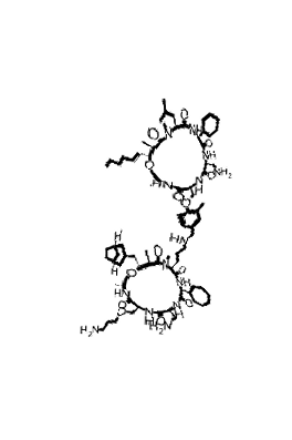 CCCCCC[C@H]1OC[C@@H](C)NC(=O)[C@H](COc2ccc(CNCCC[C@H]3C(=O)N[C@@H](C4CCCCCC4)C(=O)N[C@@H](CN)C(=O)N[C@@H](COCCCN)C(=O)N[C@H](C)CO[C@H](C[C@@H]4C[C@@H]5CC[C@@H](C5)C4)[C@@H](C)C(=O)N3C)cc2C)NC(=O)[C@H](CN)NC(=O)[C@H](C2CCCCC2)NC(=O)[C@H](CC(C)C)N(C)C(=O)[C@@H]1C